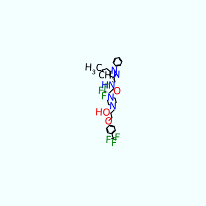 CC(C)Cc1cc(CNC(=O)[C@H](N2CCN(CC(O)COc3ccc(C(F)(F)F)cc3)CC2)C(F)(F)F)nn1-c1ccccc1